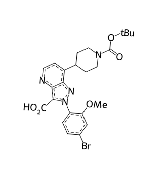 COc1cc(Br)ccc1-n1nc2c(C3CCN(C(=O)OC(C)(C)C)CC3)ccnc2c1C(=O)O